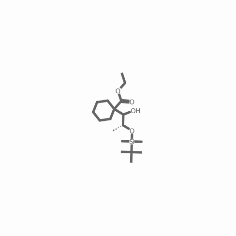 CCOC(=O)C1(C(O)[C@@H](C)O[Si](C)(C)C(C)(C)C)CCCCC1